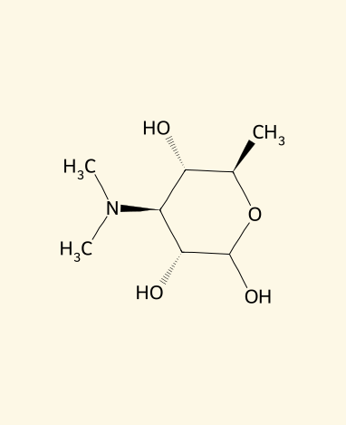 C[C@H]1OC(O)[C@H](O)[C@@H](N(C)C)[C@@H]1O